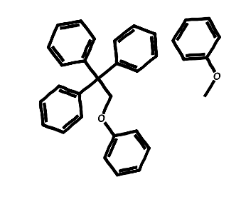 COc1ccccc1.c1ccc(OCC(c2ccccc2)(c2ccccc2)c2ccccc2)cc1